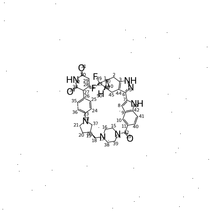 C[C@@]12Cc3[nH]nc(-c4cc5cc(C(=O)N6CCN(C[C@H]7CCN(c8ccc(C9CCC(=O)NC9=O)cc8)C7)CC6)ccc5[nH]4)c3C[C@@H]1C2(F)F